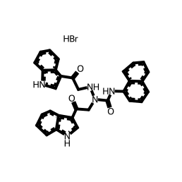 Br.O=C(CNN(CC(=O)c1c[nH]c2ccccc12)C(=O)Nc1cccc2ccccc12)c1c[nH]c2ccccc12